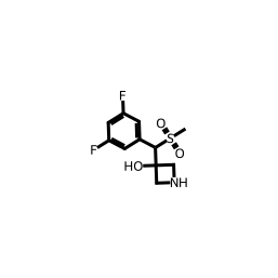 CS(=O)(=O)C(c1cc(F)cc(F)c1)C1(O)CNC1